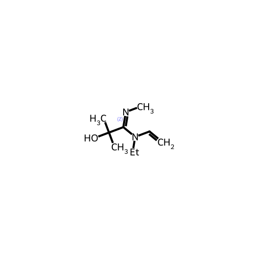 C=CN(CC)/C(=N\C)C(C)(C)O